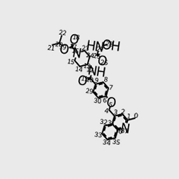 Cc1cc(COc2ccc(C(=O)N[C@@H]3CCN(C(=O)OC(C)C)C[C@@H]3C(=O)NO)cc2)c2ccccc2n1